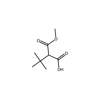 COC(=O)C(C(=O)O)C(C)(C)C